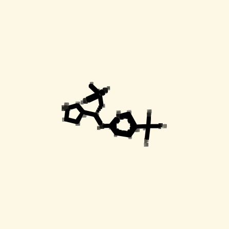 CS(=O)(=O)C[C@H](Oc1ccc(C(F)(F)F)cn1)[C@H]1CCNC1